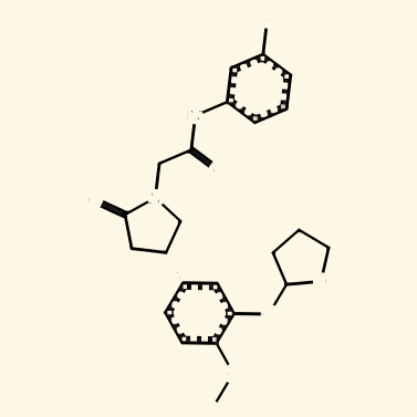 COc1ccc([C@@H]2CC(=O)N(CC(=O)Nc3cccc(F)c3)C2)cc1OC1CCCO1